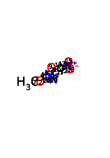 CCOc1ccn2c(C(=O)c3ccc([N+](=O)[O-])cc3)cnc2c1